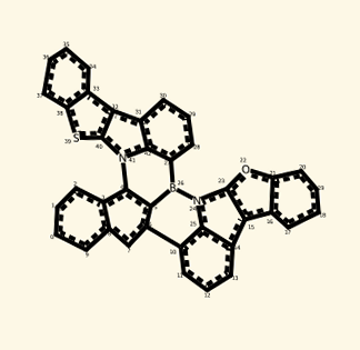 c1ccc2c3c4c(cc2c1)-c1cccc2c5c6ccccc6oc5n(c12)B4c1cccc2c4c5ccccc5sc4n-3c12